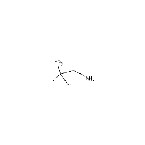 [CH2]C(C)(CN)CCC